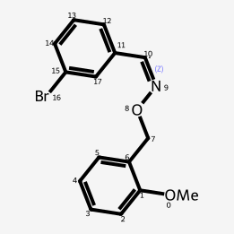 COc1ccccc1CO/N=[C]\c1cccc(Br)c1